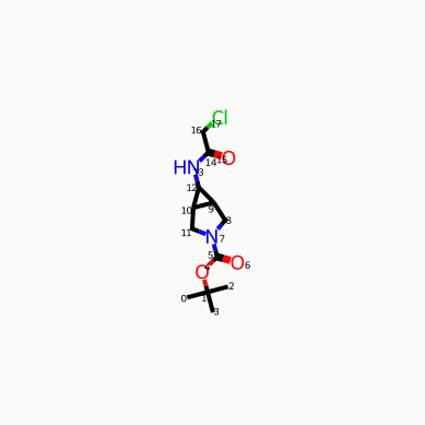 CC(C)(C)OC(=O)N1CC2C(C1)C2NC(=O)CCl